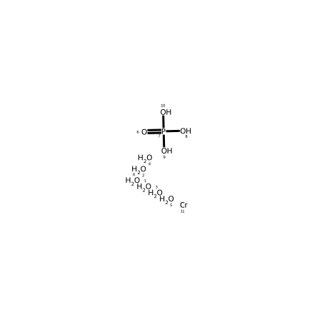 O.O.O.O.O.O.O=P(O)(O)O.[Cr]